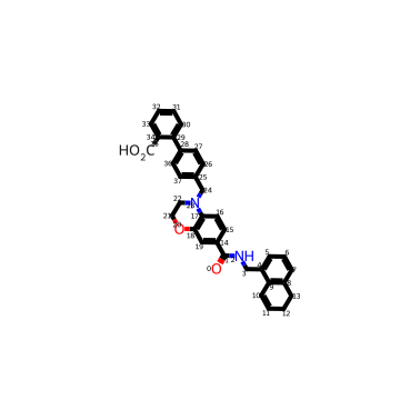 O=C(NCc1cccc2c1C=CCC2)c1ccc2c(c1)OCCN2Cc1ccc(-c2ccccc2C(=O)O)cc1